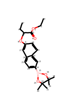 CCOC(=O)C(CC)Oc1ccc2cc(B3OC(C)(C)C(C)(C)O3)ccc2c1